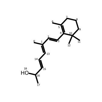 CC(C=CC1=C(C)CCCC1(C)C)=CC=CC(C)O